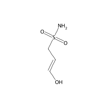 NS(=O)(=O)CC=CO